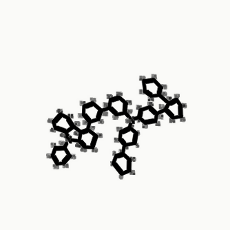 c1ccc(-c2ccc(N(c3ccc(-c4ccccc4-c4ccccc4)cc3)c3cccc(-c4cccc(-c5cccc6c5c5ccccc5n6-c5ccccc5)c4)c3)cc2)cc1